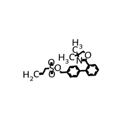 C=CCS(=O)(=O)OCc1ccc(-c2ccccc2C2=NC(C)(C)CO2)cc1